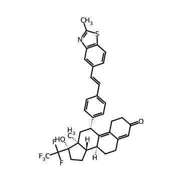 Cc1nc2cc(/C=C/c3ccc([C@H]4C[C@@]5(C)[C@@H](CC[C@@]5(O)C(F)(F)C(F)(F)F)[C@@H]5CCC6=CC(=O)CCC6=C54)cc3)ccc2s1